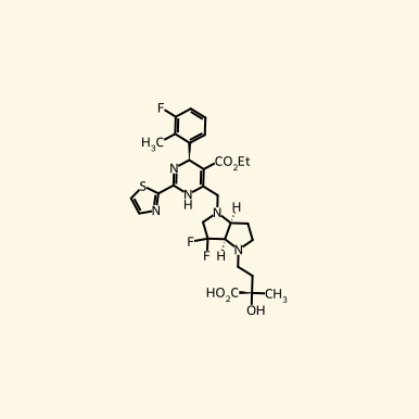 CCOC(=O)C1=C(CN2CC(F)(F)[C@H]3[C@@H]2CCN3CC[C@](C)(O)C(=O)O)NC(c2nccs2)=N[C@H]1c1cccc(F)c1C